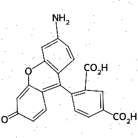 Nc1ccc2c(-c3ccc(C(=O)O)cc3C(=O)O)c3ccc(=O)cc-3oc2c1